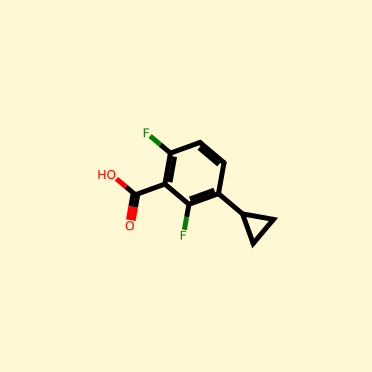 O=C(O)c1c(F)ccc(C2CC2)c1F